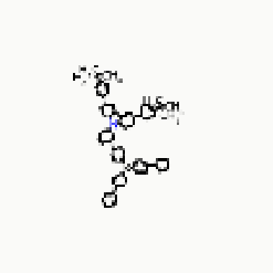 CC(C)(C)c1ccc(-c2ccc3c(c2)c2cc(-c4ccc(C(C)(C)C)cc4)ccc2n3-c2cccc(-c3ccc(B(c4ccc(-c5ccccc5)cc4)c4ccc(-c5ccccc5)cc4)cc3)c2)cc1